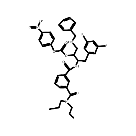 CCCN(CCC)C(=O)c1cccc(C(=O)NC(Cc2cc(F)cc(F)c2)C(CNCc2ccccc2)OC(=O)Oc2ccc([N+](=O)[O-])cc2)c1